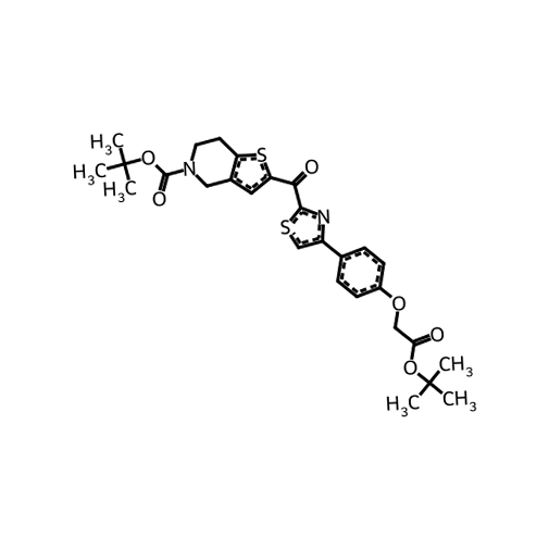 CC(C)(C)OC(=O)COc1ccc(-c2csc(C(=O)c3cc4c(s3)CCN(C(=O)OC(C)(C)C)C4)n2)cc1